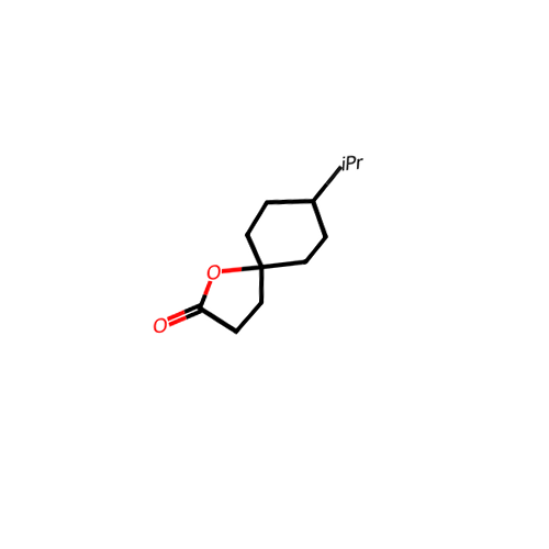 CC(C)C1CCC2(CCC(=O)O2)CC1